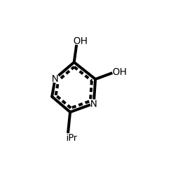 CC(C)c1cnc(O)c(O)n1